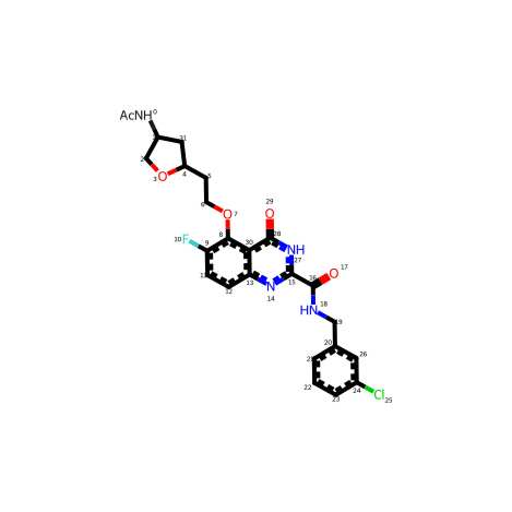 CC(=O)NC1COC(CCOc2c(F)ccc3nc(C(=O)NCc4cccc(Cl)c4)[nH]c(=O)c23)C1